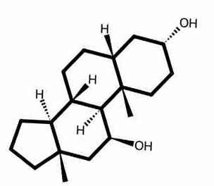 C[C@@]12CCC[C@H]1[C@@H]1CC[C@@H]3C[C@H](O)CC[C@]3(C)[C@H]1[C@@H](O)C2